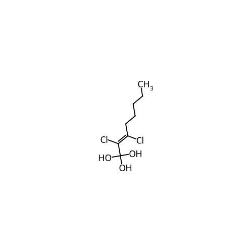 CCCCCC(Cl)=C(Cl)C(O)(O)O